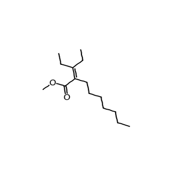 CCCCCCCC(C(=O)OC)=C(CC)CC